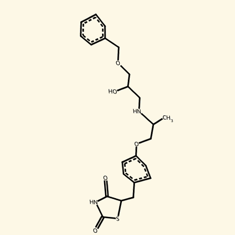 CC(COc1ccc(CC2SC(=O)NC2=O)cc1)NCC(O)COCc1ccccc1